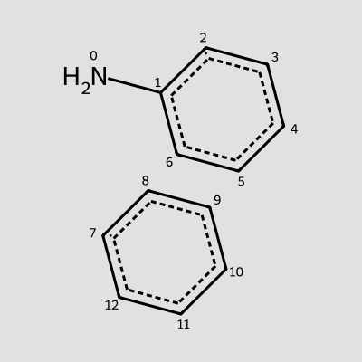 Nc1[c]cccc1.[c]1ccccc1